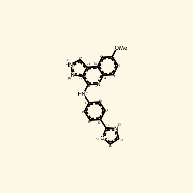 COc1ccc2nc(Nc3ccc(-c4ncco4)cc3)c3n[nH]cc3c2c1